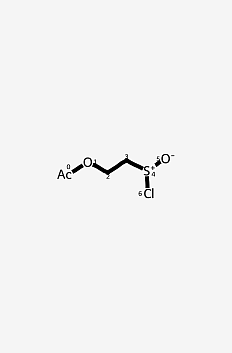 CC(=O)OCC[S+]([O-])Cl